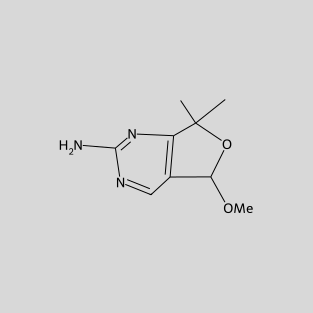 COC1OC(C)(C)c2nc(N)ncc21